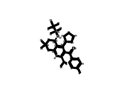 Cc1ccc(C(=O)c2c(C(C)C)nc3c(c2C2CCCC2)[C@@H](O[Si](C)(C)C(C)(C)C)CC(C)(C)C3)cc1